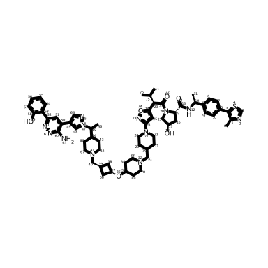 Cc1ncsc1-c1ccc([C@H](C)NC(=O)[C@@H]2C[C@@H](O)CN2C(=O)[C@@H](c2cc(N3CCC(CN4CCC(O[C@H]5C[C@H](CN6CCC(C(C)n7cc(-c8cc(-c9ccccc9O)nnc8N)cn7)CC6)C5)CC4)CC3)no2)C(C)C)cc1